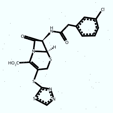 O=C(Cc1cccc(Cl)c1)N[C@@H]1C(=O)N2C(C(=O)O)=C(Sc3nncs3)CS[C@H]12